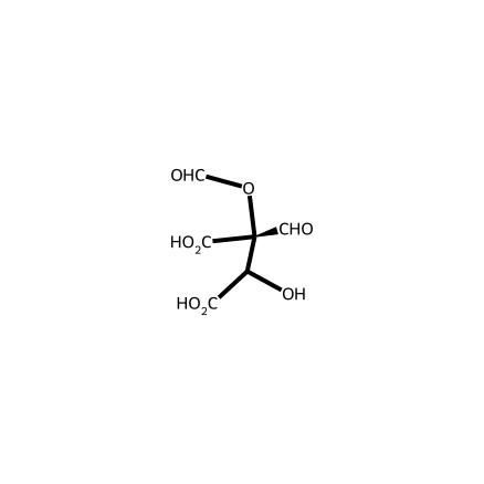 O=CO[C@@](C=O)(C(=O)O)C(O)C(=O)O